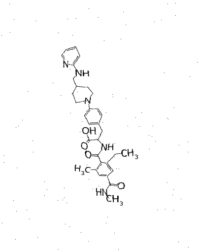 CCc1cc(C(=O)NC)cc(C)c1C(=O)NC(Cc1ccc(N2CCC(CNc3ccccn3)CC2)cc1)C(=O)O